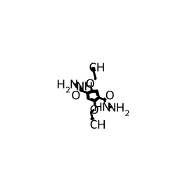 C#CCOc1cc(C(=O)NN)c(OCC#C)cc1C(=O)NN